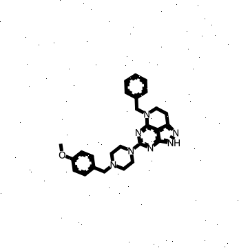 COc1ccc(CN2CCN(c3nc4c5c(n[nH]c5n3)CCN4Cc3ccccc3)CC2)cc1